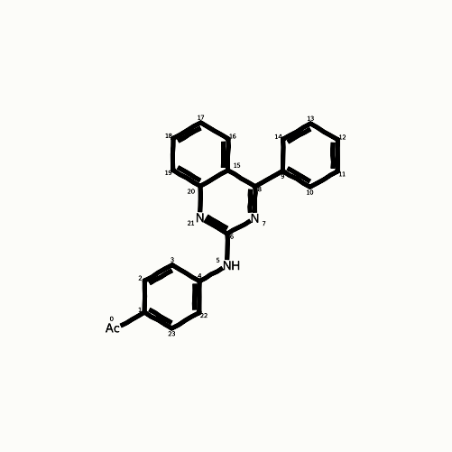 CC(=O)c1ccc(Nc2nc(-c3ccccc3)c3ccccc3n2)cc1